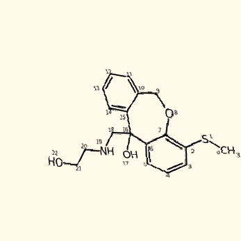 CSc1cccc2c1OCc1ccccc1C2(O)CNCCO